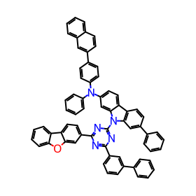 c1ccc(-c2cccc(-c3nc(-c4ccc5c(c4)oc4ccccc45)nc(-n4c5cc(-c6ccccc6)ccc5c5ccc(N(c6ccccc6)c6ccc(-c7ccc8ccccc8c7)cc6)cc54)n3)c2)cc1